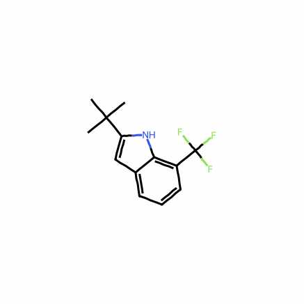 CC(C)(C)c1cc2cccc(C(F)(F)F)c2[nH]1